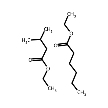 CCCCCC(=O)OCC.CCOC(=O)CC(C)C